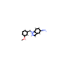 COc1cccc(Cn2ncc3cc(N)ccc32)c1